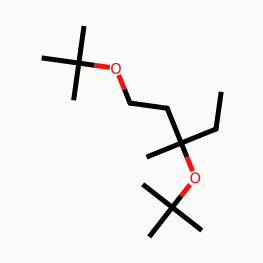 CCC(C)(CCOC(C)(C)C)OC(C)(C)C